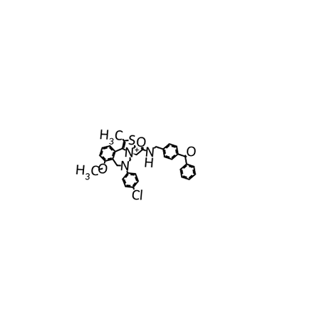 COc1cccc2c1CN(c1ccc(Cl)cc1)C[N@@+]1(CC(=O)NCc3ccc(C(=O)c4ccccc4)cc3)CSC(C)=C21